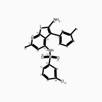 Cc1cccc(-c2c(N)sc3nc(C)cc(NS(=O)(=O)c4cccc(Cl)c4)c23)c1